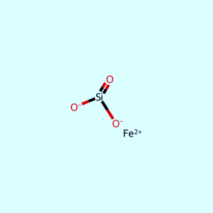 O=[Si]([O-])[O-].[Fe+2]